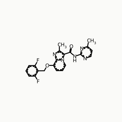 Cc1ccnc(NC(=O)c2c(C)nc3c(OCc4c(F)cccc4F)cccn23)n1